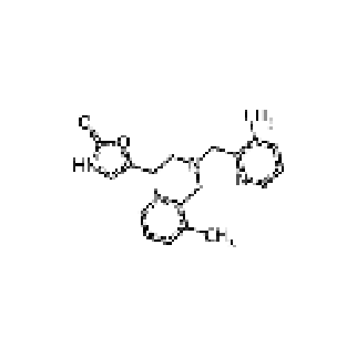 Cc1cccnc1CN(CCc1c[nH]c(=O)o1)Cc1ncccc1C